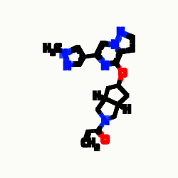 C=CC(=O)N1C[C@H]2C[C@H](Oc3nc(-c4cnn(C)c4)cn4nccc34)C[C@H]2C1